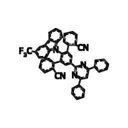 N#Cc1ccccc1-c1cc(-c2nc(-c3ccccc3)cc(-c3ccccc3)n2)cc(-c2ccccc2C#N)c1-n1c2ccccc2c2cc(C(F)(F)F)ccc21